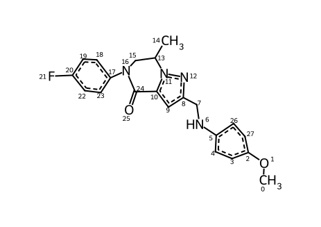 COc1ccc(NCc2cc3n(n2)C(C)CN(c2ccc(F)cc2)C3=O)cc1